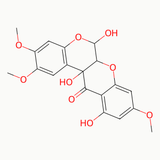 COc1cc(O)c2c(c1)OC1C(O)Oc3cc(OC)c(OC)cc3C1(O)C2=O